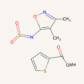 COC(=O)c1cccs1.Cc1noc(N=S(=O)=O)c1C